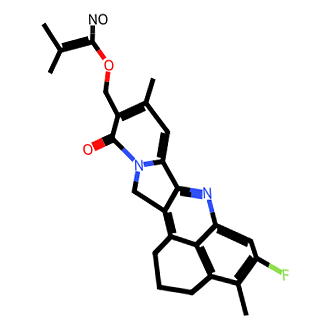 CC(C)=C(N=O)OCc1c(C)cc2n(c1=O)Cc1c-2nc2cc(F)c(C)c3c2c1CCC3